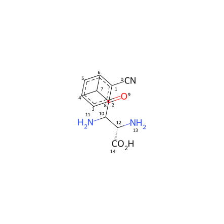 N#Cc1ccc2cc1C2C(=O)C(N)[C@H](N)C(=O)O